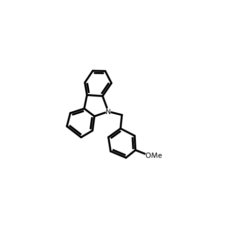 COc1cccc(Cn2c3ccccc3c3ccccc32)c1